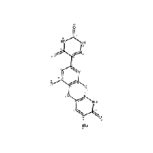 CC[C@@H](C)c1cc(Oc2c(Cl)cc(-c3n[nH]c(=O)[nH]c3=O)cc2Cl)n[nH]c1=O